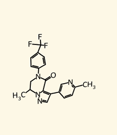 Cc1ccc(-c2cnn3c2C(=O)N(c2ccc(C(F)(F)F)cc2)CC3C)cn1